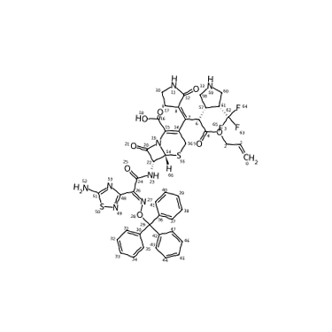 C=CCOC(=O)C(C(=C1CCNC1=O)C1=C(C(=O)O)N2C(=O)[C@@H](NC(=O)C(=NOC(c3ccccc3)(c3ccccc3)c3ccccc3)c3nsc(N)n3)[C@H]2SC1)[C@@H]1CNC[C@@H]1C(F)(F)F